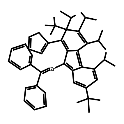 CC(C)C1=C(C(C)C)C(C(C)C)(C(C)(C)C)C(C2=CC=CC2)=C2[C]([Zr]=[C](c3ccccc3)c3ccccc3)=c3cc(C(C)(C)C)cc(C(C)C)c3=C21